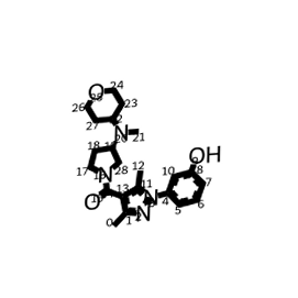 Cc1nn(-c2cccc(O)c2)c(C)c1C(=O)N1CC[C@@H](N(C)C2CCOCC2)C1